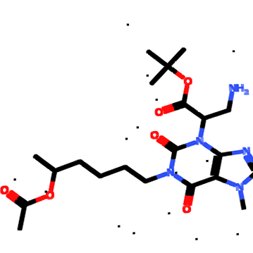 CC(=O)OC(C)CCCCn1c(=O)c2c(ncn2C)n(C(CN)C(=O)OC(C)(C)C)c1=O